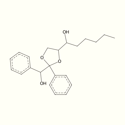 CCCCCC(O)C1COC(c2ccccc2)(C(O)c2ccccc2)O1